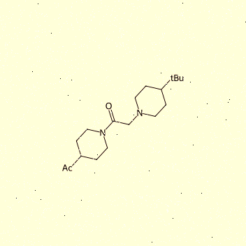 CC(=O)C1CCN(C(=O)CN2CCC(C(C)(C)C)CC2)CC1